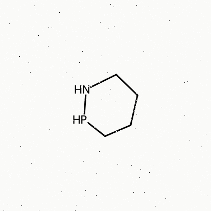 C1CCPNC1